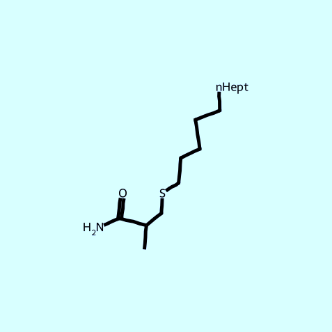 CCCCCCCCCCCCSCC(C)C(N)=O